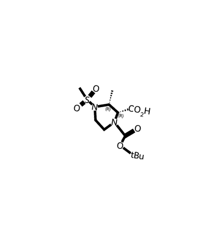 C[C@@H]1[C@H](C(=O)O)N(C(=O)OC(C)(C)C)CCN1S(C)(=O)=O